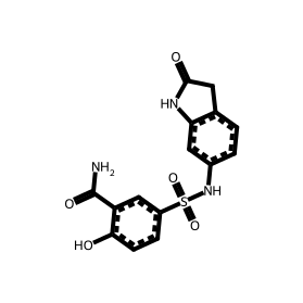 NC(=O)c1cc(S(=O)(=O)Nc2ccc3c(c2)NC(=O)C3)ccc1O